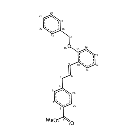 COC(=O)c1ccc(CC=Cc2ccccc2OCc2ccccc2)cc1